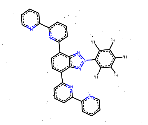 [2H]c1c([2H])c([2H])c(-n2nc3c(-c4cccc(-c5ccccn5)n4)ccc(-c4cccc(-c5ccccn5)n4)c3n2)c([2H])c1[2H]